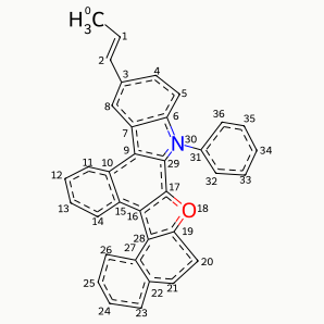 C/C=C/c1ccc2c(c1)c1c3ccccc3c3c(oc4ccc5ccccc5c43)c1n2-c1ccccc1